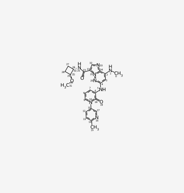 CNc1cc(Nc2cccn(-c3ccc(C)nc3)c2=O)nn2c(C(=O)N[C@H]3CC[C@@H]3OC)cnc12